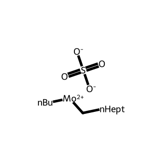 CCCCCCC[CH2][Mo+2][CH2]CCC.O=S(=O)([O-])[O-]